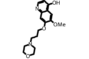 COc1cc2c(O)ccnc2cc1OCCCN1CCOCC1